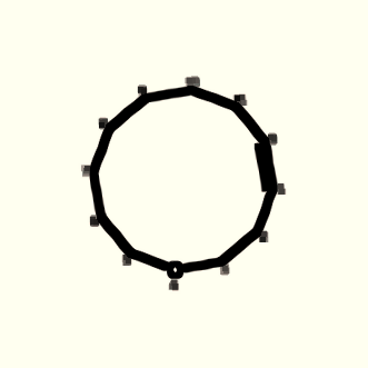 C1=CCCOCCCCCCC1